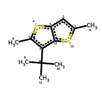 Cc1cc2sc(C)c(C(C)(C)C)c2s1